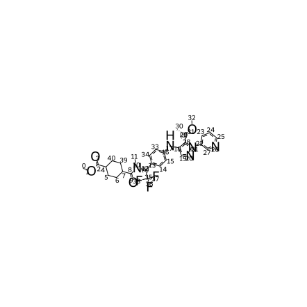 COC(=O)C1CCC(C(=O)N(C)[C@@H](c2ccc(Nc3cnn(-c4cccnc4)c3[C@H](C)OC)cc2)C(F)(F)F)CC1